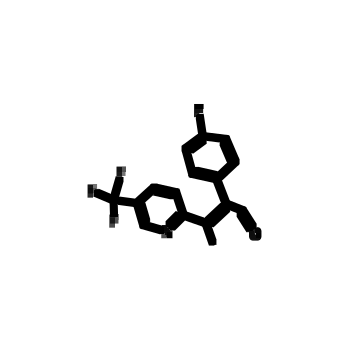 CC(=C(C=O)c1ccc(F)cc1)c1ccc(C(F)(F)F)cn1